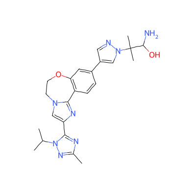 Cc1nc(-c2cn3c(n2)-c2ccc(-c4cnn(C(C)(C)C(N)O)c4)cc2OCC3)n(C(C)C)n1